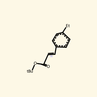 CCc1ccc(/C=C/C(=O)OC(C)(C)C)cc1